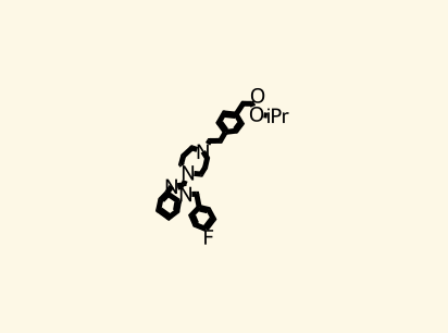 CC(C)OC(=O)Cc1ccc(CCN2CCCN(c3nc4ccccc4n3Cc3ccc(F)cc3)CCC2)cc1